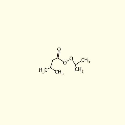 CC(C)CC(=O)OOC(C)C